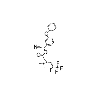 CC1(C)C(/C=C(\I)C(F)(F)F)C1C(=O)OC(C#N)c1cccc(Oc2ccccc2)c1